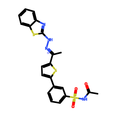 CC(=O)NS(=O)(=O)c1cccc(-c2ccc(/C(C)=N/Nc3nc4ccccc4s3)s2)c1